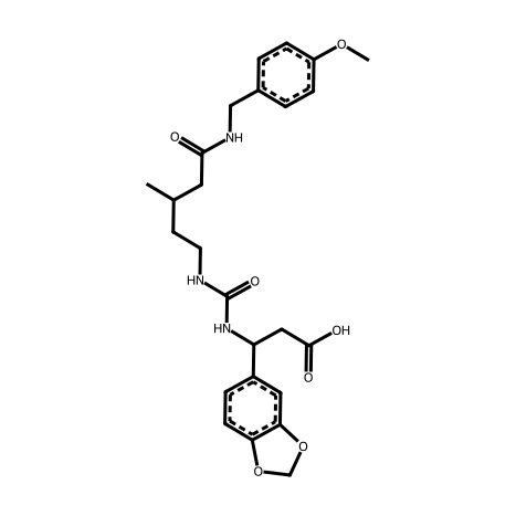 COc1ccc(CNC(=O)CC(C)CCNC(=O)NC(CC(=O)O)c2ccc3c(c2)OCO3)cc1